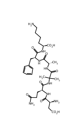 C[C@H](NC(=O)C(C)(C)NC(=O)[C@H](CCC(N)=O)NC(=O)[C@@H](N)CC(=O)O)C(=O)N[C@@H](Cc1ccccc1)C(=O)N[C@@H](CCCCN)C(=O)O